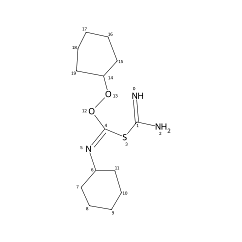 N=C(N)SC(=NC1CCCCC1)OOC1CCCCC1